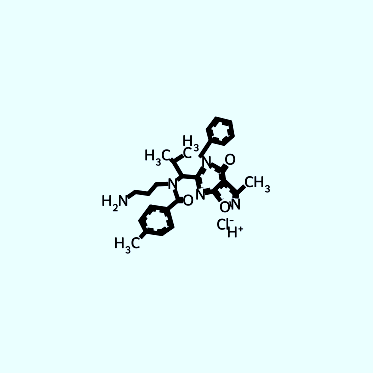 Cc1ccc(C(=O)N(CCCN)C(c2nc3onc(C)c3c(=O)n2Cc2ccccc2)C(C)C)cc1.[Cl-].[H+]